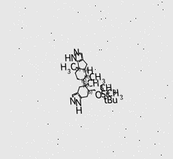 C[C@@H]1[C@@H]([C@@]2(C)Cc3cn[nH]c3C[C@@H]2CO[Si](C)(C)C(C)(C)C)CC[C@]2(C)c3[nH]ncc3C[C@@H]12